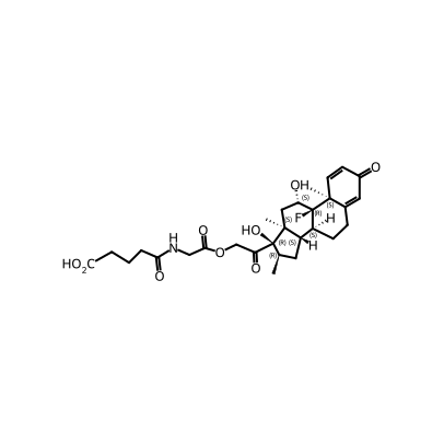 C[C@@H]1C[C@H]2[C@@H]3CCC4=CC(=O)C=C[C@]4(C)[C@@]3(F)[C@@H](O)C[C@]2(C)[C@@]1(O)C(=O)COC(=O)CNC(=O)CCCC(=O)O